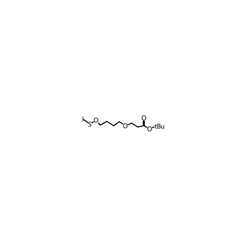 CC(C)(C)OC(=O)CCOCCCCOSI